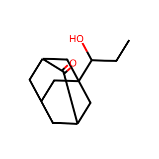 CCC(O)C12CC3CC(C1)C(=O)C(C3)C2